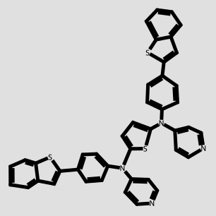 c1ccc2sc(-c3ccc(N(c4ccncc4)c4ccc(N(c5ccncc5)c5ccc(-c6cc7ccccc7s6)cc5)s4)cc3)cc2c1